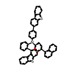 c1ccc(N(c2ccc(-c3ccc4c(c3)sc3ccccc34)cc2)c2ccc(-c3cccc4ccccc34)cc2)c(-c2cccc3sc4ccccc4c23)c1